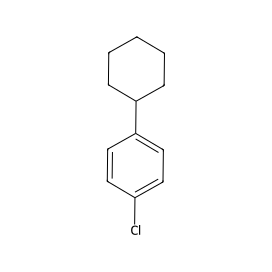 Clc1ccc(C2CCCCC2)cc1